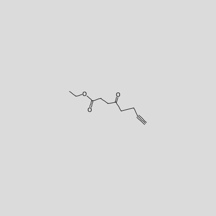 C#CCCC(=O)CCC(=O)OCC